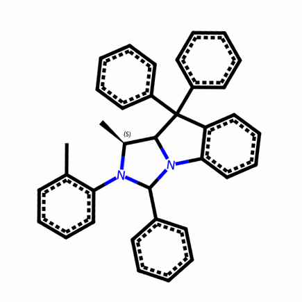 Cc1ccccc1N1C(c2ccccc2)N2c3ccccc3C(c3ccccc3)(c3ccccc3)C2[C@@H]1C